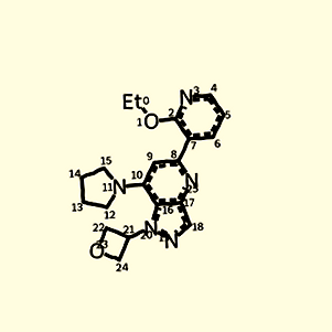 CCOc1ncccc1-c1cc(N2CCCC2)c2c(cnn2C2COC2)n1